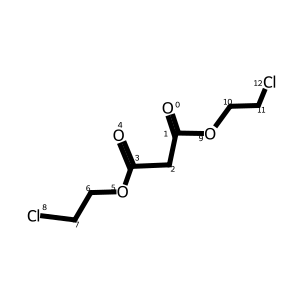 O=C(CC(=O)OCCCl)OCCCl